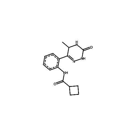 CC1NC(=O)NN=C1c1ccccc1NC(=O)C1CCC1